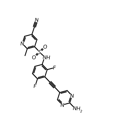 Cc1ncc(C#N)cc1S(=O)(=O)Nc1ccc(F)c(C#Cc2cnc(N)nc2)c1F